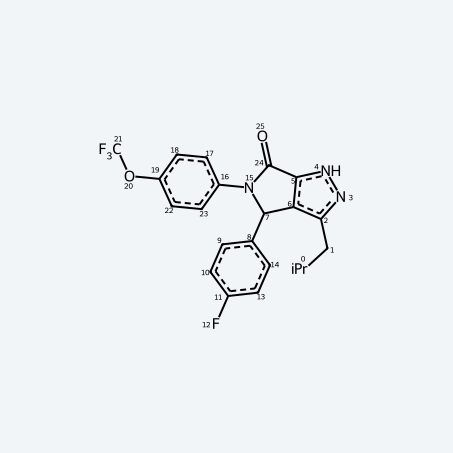 CC(C)Cc1n[nH]c2c1C(c1ccc(F)cc1)N(c1ccc(OC(F)(F)F)cc1)C2=O